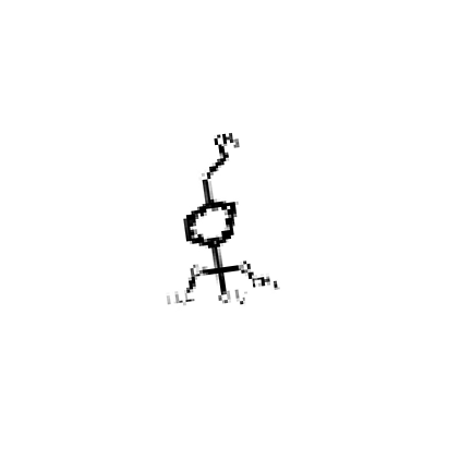 [CH2]C(OC)(OC)c1ccc(OCC)cc1